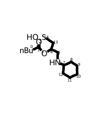 CCCCC(=O)OC(CNC1CCCCC1)CS(=O)(=O)O